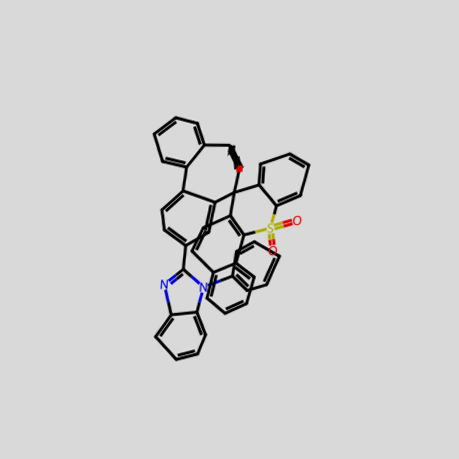 O=S1(=O)c2ccccc2C2(c3ccccc3-c3ccccc3-c3ccc(-c4nc5ccccc5n4-c4ccccc4)cc32)c2ccc3ccccc3c21